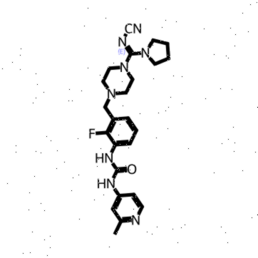 Cc1cc(NC(=O)Nc2cccc(CN3CCN(/C(=N/C#N)N4CCCC4)CC3)c2F)ccn1